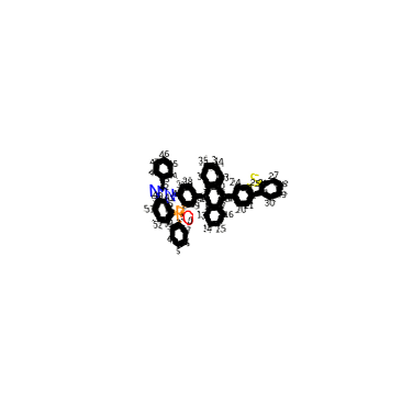 O=P1(c2ccccc2)c2cc(-c3c4ccccc4c(-c4ccc5c(c4)sc4ccccc45)c4ccccc34)ccc2-n2c(-c3ccccc3)nc3cccc1c32